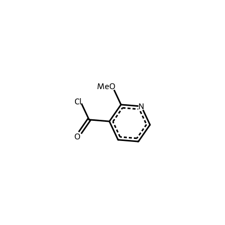 COc1ncccc1C(=O)Cl